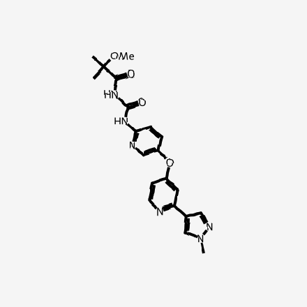 COC(C)(C)C(=O)NC(=O)Nc1ccc(Oc2ccnc(-c3cnn(C)c3)c2)cn1